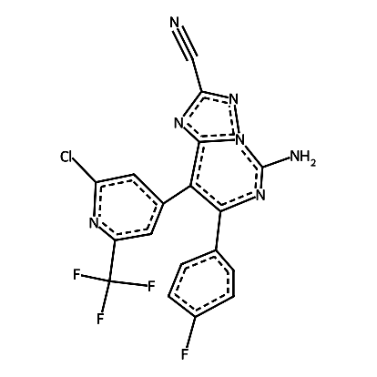 N#Cc1nc2c(-c3cc(Cl)nc(C(F)(F)F)c3)c(-c3ccc(F)cc3)nc(N)n2n1